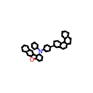 c1ccc(N(c2ccc(-c3ccc4c(ccc5ccc6ccccc6c54)c3)cc2)c2cccc3oc4cc5ccccc5cc4c23)cc1